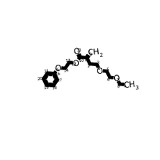 C=C(CCOCCOCC)C(=O)OCCOc1ccccc1